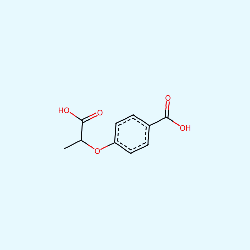 CC(Oc1ccc(C(=O)O)cc1)C(=O)O